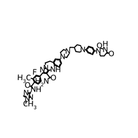 Cc1c(C(=O)Nc2ncn(C)n2)ccc(-c2nn3c(c2C(N)=O)Nc2ccc(N4CCN(CC5CCN(c6ccc(N7CCC(=O)NC7=O)cc6)CC5)CC4)cc2CC3)c1F